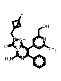 Cc1cc(-c2c(-c3ccccc3)nc(N)[n+]3c(=O)n(CC45CC(F)(C4)C5)[nH]c23)cc(CO)n1